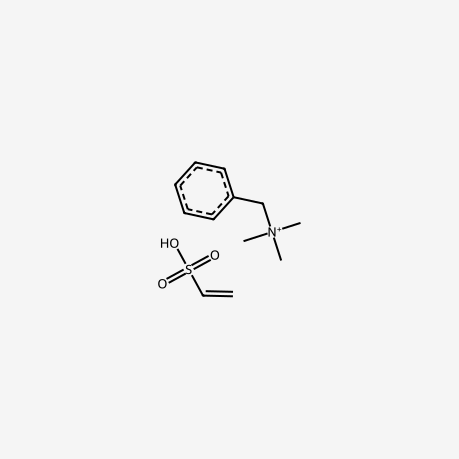 C=CS(=O)(=O)O.C[N+](C)(C)Cc1ccccc1